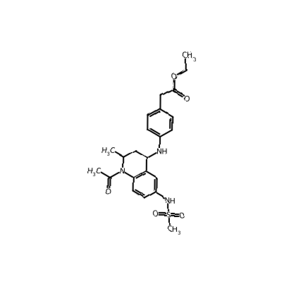 CCOC(=O)Cc1ccc(NC2CC(C)N(C(C)=O)c3ccc(NS(C)(=O)=O)cc32)cc1